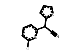 N#CC(c1cccc(Cl)n1)c1cccs1